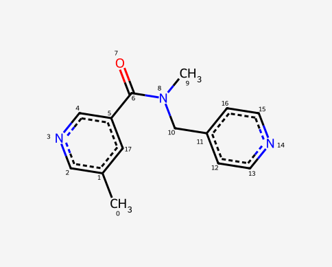 Cc1cncc(C(=O)N(C)Cc2ccncc2)c1